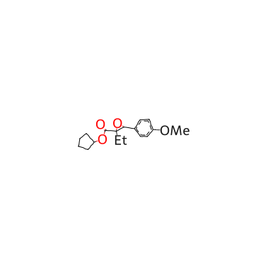 CCC1(C(=O)OC2CCCC2)OC1c1ccc(OC)cc1